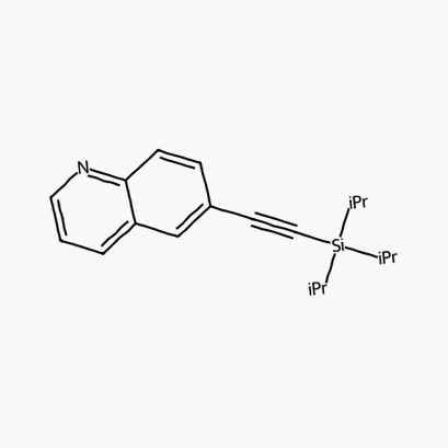 CC(C)[Si](C#Cc1ccc2ncccc2c1)(C(C)C)C(C)C